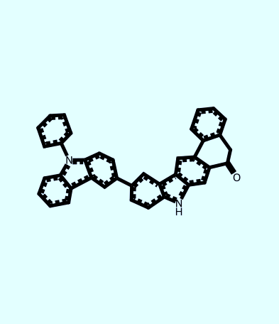 O=C1Cc2ccccc2-c2cc3c(cc21)[nH]c1ccc(-c2ccc4c(c2)c2ccccc2n4-c2ccccc2)cc13